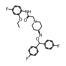 CCOc1cc(F)ccc1NC(=O)CN1CCC(=NOC(c2ccc(F)cc2)c2ccc(F)cc2)CC1